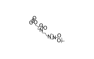 CC(C)(C)OC(=O)N1CCN(CCCN2CC(COS(C)(=O)=O)OC2=O)CC1